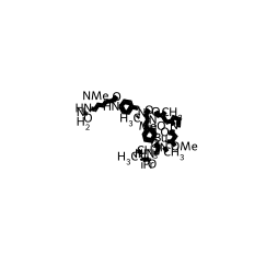 CCC(C)C(C(CC(=O)N1CCCC1C(OC)C(C)C(=O)NC(Cc1ccccc1)C(=O)N(C)Cc1ccc(NC(=O)C(CCCNC(N)=O)NC)cc1)OC)N(C)C(=O)CNC(=O)C(C(C)C)N(C)C